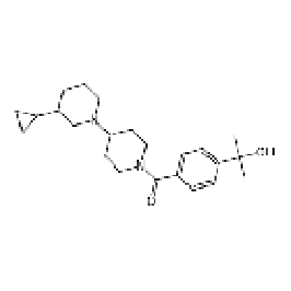 CC(C)(O)c1ccc(C(=O)N2CCC(N3CCCC(C4CC4)C3)CC2)cc1